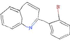 Brc1ccccc1-c1ccc2ccccc2n1